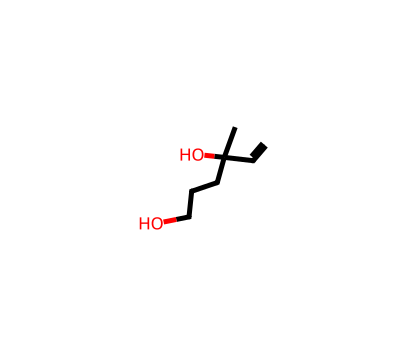 C=CC(C)(O)CCCO